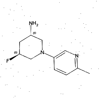 Cc1ccc(N2C[C@@H](N)C[C@H](F)C2)cn1